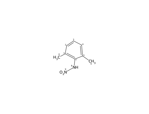 Cc1cccc(C)c1N[N+](=O)[O-]